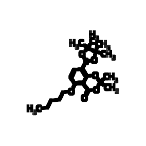 CCCCCOc1ccc(B2OC(C)(C)C(C)(C)O2)c2c1C(=O)OC(C)(C)O2